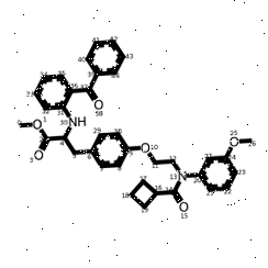 COC(=O)C(Cc1ccc(OCCN(C(=O)C2CCC2)c2cccc(OC)c2)cc1)Nc1ccccc1C(=O)c1ccccc1